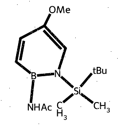 COC1=CN([Si](C)(C)C(C)(C)C)B(NC(C)=O)C=C1